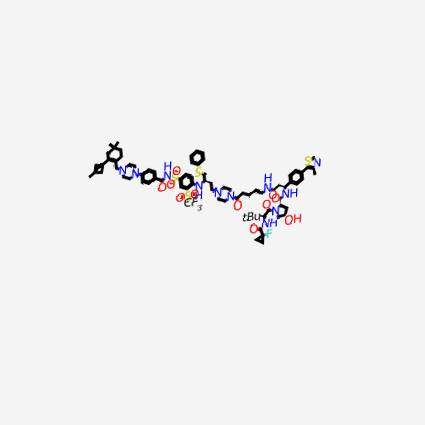 Cc1ncsc1-c1ccc([C@H](CC(=O)NCCCCC(=O)N2CCN(CC[C@H](CSc3ccccc3)Nc3ccc(S(=O)(=O)NC(=O)c4ccc(N5CCN(CC6=C(C78CC(C)(C7)C8)CC(C)(C)CC6)CC5)cc4)cc3S(=O)(=O)C(F)(F)F)CC2)NC(=O)[C@@H]2C[C@@H](O)CN2C(=O)[C@@H](NC(=O)C2(F)CC2)C(C)(C)C)cc1